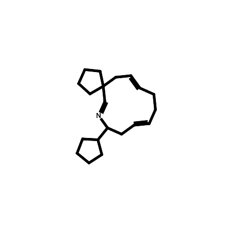 C1=C/CC(C2CCCC2)/N=C/C2(C/C=C/CC/1)CCCC2